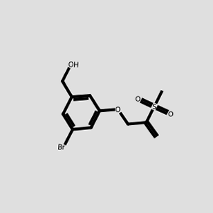 C=C(COc1cc(Br)cc(CO)c1)S(C)(=O)=O